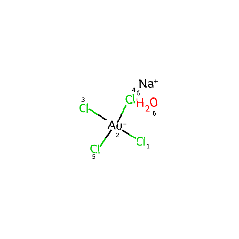 O.[Cl][Au-]([Cl])([Cl])[Cl].[Na+]